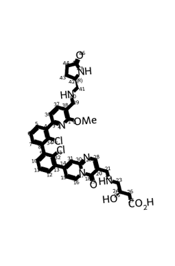 COc1nc(-c2cccc(-c3cccc(-c4ccn5c(=O)c(CNC[C@@H](O)CC(=O)O)cnc5c4)c3Cl)c2Cl)ccc1CNC[C@H]1CCC(=O)N1